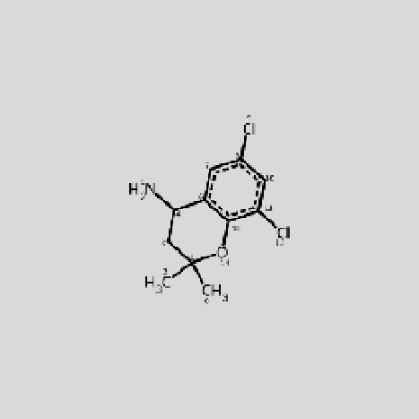 CC1(C)CC(N)c2cc(Cl)cc(Cl)c2O1